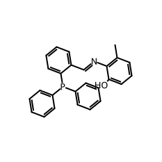 Cc1cccc(O)c1/N=C/c1ccccc1P(c1ccccc1)c1ccccc1